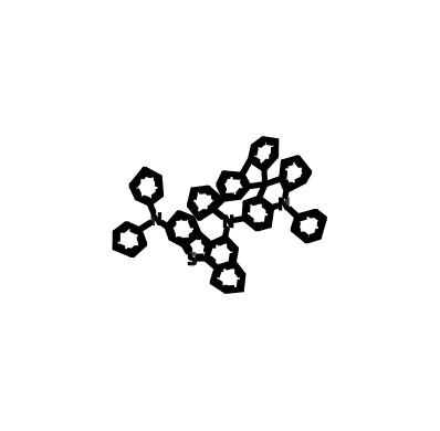 c1ccc(N(c2ccccc2)c2ccc3c(c2)sc2c4ccccc4cc(N(c4ccccc4)c4ccc5c(c4)C4(c6ccccc6-c6ccccc64)c4ccccc4N5c4ccccc4)c32)cc1